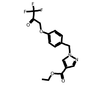 CCOC(=O)c1cnn(Cc2ccc(OCC(=O)C(F)(F)F)cc2)c1